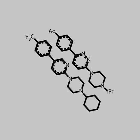 CC(=O)c1ccc(-c2ccc(N3CCN(C(C)C)CC3)nn2)cc1.FC(F)(F)c1ccc(-c2ccc(N3CCN(C4CCCCC4)CC3)nc2)cc1